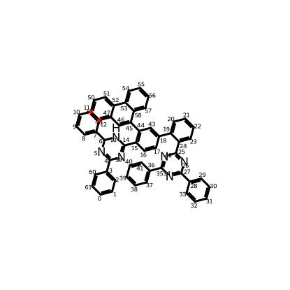 c1ccc(C2=NC(c3ccccc3)NC(c3ccc(-c4ccccc4-c4nc(-c5ccccc5)nc(-c5ccccc5)n4)cc3-c3cc4ccccc4c4ccccc34)=N2)cc1